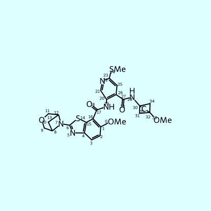 COc1ccc2nc(N3C4COCC3C4)sc2c1C(=O)Nc1cnc(SC)cc1C(=O)NC12CC(OC)(C1)C2